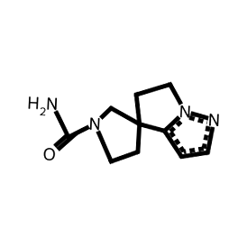 NC(=O)N1CCC2(CCn3nccc32)C1